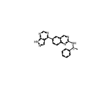 C[C@H](Nc1ncc2cc(-c3ncnc4[nH]ncc34)ccc2n1)c1ccccc1